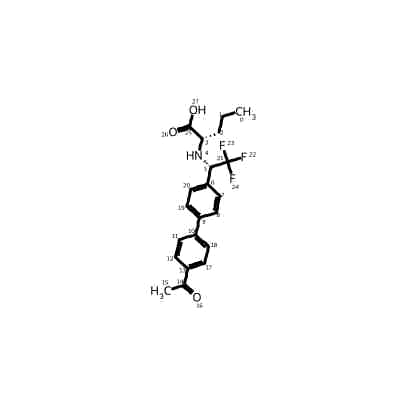 CCC[C@H](N[C@@H](c1ccc(-c2ccc(C(C)=O)cc2)cc1)C(F)(F)F)C(=O)O